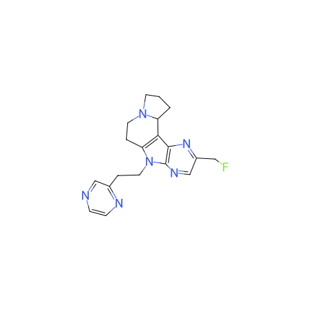 FCc1cnc2c(n1)c1c(n2CCc2cnccn2)CCN2CCCC12